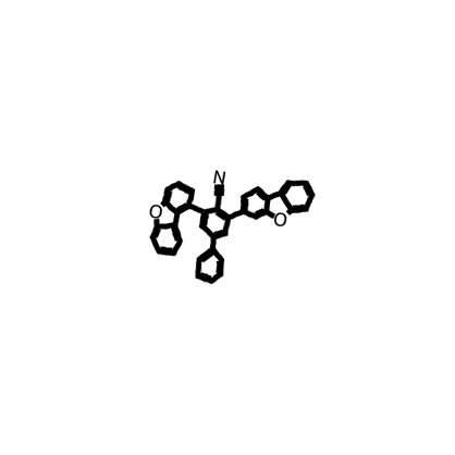 N#Cc1c(-c2ccc3c(c2)oc2ccccc23)cc(-c2ccccc2)cc1-c1cccc2oc3ccccc3c12